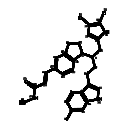 Cc1ccc2c(CCN(Cc3cc(Cl)c(Cl)[nH]3)C3CCc4cc(C=CC(=O)NO)ccc43)c[nH]c2c1